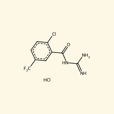 Cl.N=C(N)NC(=O)c1cc(C(F)(F)F)ccc1Cl